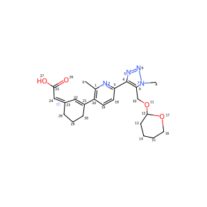 Cc1nc(-c2nnn(C)c2COC2CCCCO2)ccc1C1=C/C(=C\C(=O)O)CCC1